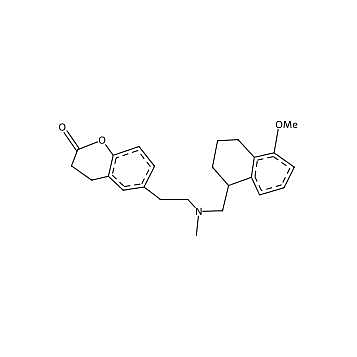 COc1cccc2c1CCCC2CN(C)CCc1ccc2c(c1)CCC(=O)O2